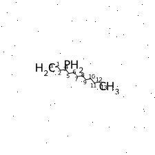 C=CCC(P)CCCCCCCCC